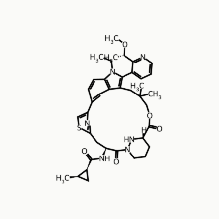 CCn1c(-c2cccnc2[C@H](C)OC)c2c3cc(ccc31)-c1csc(n1)C[C@H](NC(=O)[C@H]1C[C@H]1C)C(=O)N1CCC[C@H](N1)C(=O)OCC(C)(C)C2